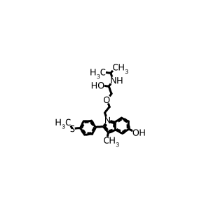 CSc1ccc(-c2c(C)c3cc(O)ccc3n2CCOCC(O)NC(C)C)cc1